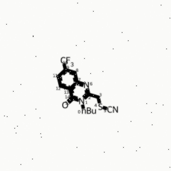 CCCCn1c(CSC#N)nc2cc(C(F)(F)F)ccc2c1=O